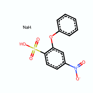 O=[N+]([O-])c1ccc(S(=O)(=O)O)c(Oc2ccccc2)c1.[NaH]